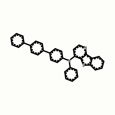 c1ccc(-c2ccc(-c3ccc(N(c4ccccc4)c4ccnc5c4sc4ccccc45)cc3)cc2)cc1